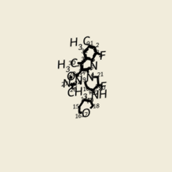 Cc1cc(F)c2nc(N3CC[C@H](N[C@@H]4CCCOC4)[C@H](F)C3)c(-c3nc(C)no3)c(C)c2c1